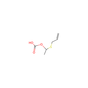 C=CCSC(C)OC(=O)O